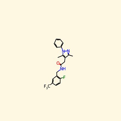 Cc1nn(-c2ccccc2)c(C)c1CC(=O)NCc1cc(C(F)(F)F)ccc1F